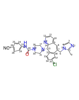 Cc1nccn1CC1=Cc2cccnc2[C@@H](N2CCN(C(=O)Nc3ccc(C#N)cc3)CC2)c2ccc(Cl)cc21